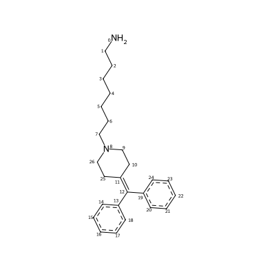 NCCCCCCCN1CCC(=C(c2ccccc2)c2ccccc2)CC1